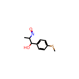 CSc1ccc(C(O)C(C)N=O)cc1